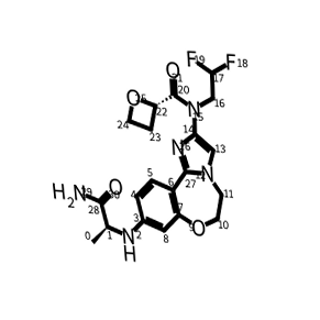 C[C@H](Nc1ccc2c(c1)OCCn1cc(N(CC(F)F)C(=O)[C@@H]3CCO3)nc1-2)C(N)=O